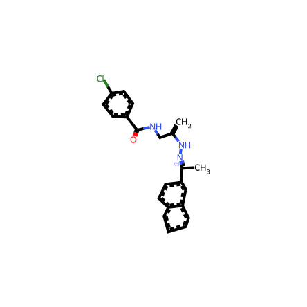 C=C(CNC(=O)c1ccc(Cl)cc1)N/N=C(\C)c1ccc2ccccc2c1